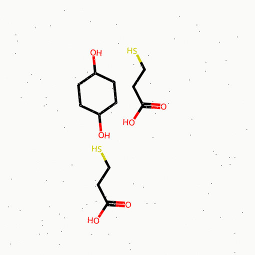 O=C(O)CCS.O=C(O)CCS.OC1CCC(O)CC1